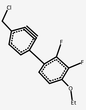 CCOc1ccc(-c2c#cc(CCl)cc2)c(F)c1F